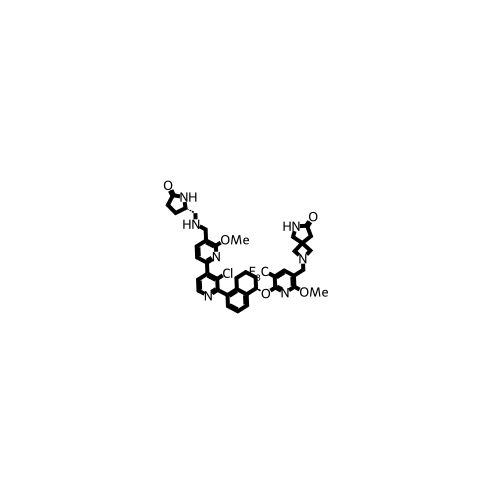 COc1nc(-c2ccnc(-c3cccc4c3CCC[C@@H]4Oc3nc(OC)c(CN4CC5(CNC(=O)C5)C4)cc3C(F)(F)F)c2Cl)ccc1CNC[C@@H]1CCC(=O)N1